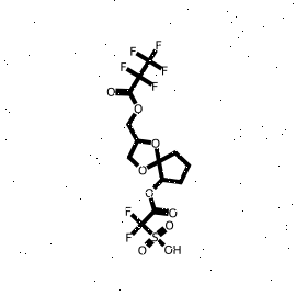 O=C(OCC1COC2(CCCC2OC(=O)C(F)(F)S(=O)(=O)O)O1)C(F)(F)C(F)(F)F